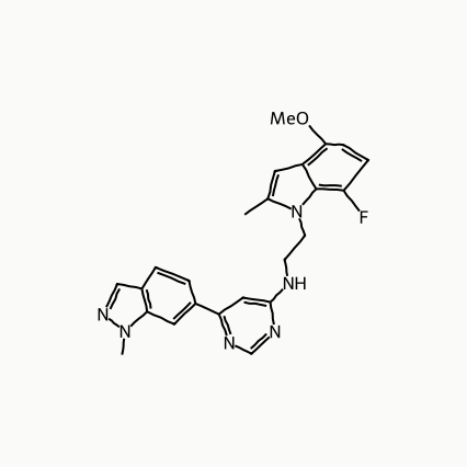 COc1ccc(F)c2c1cc(C)n2CCNc1cc(-c2ccc3cnn(C)c3c2)ncn1